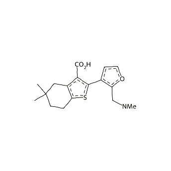 CNCc1occc1-c1sc2c(c1C(=O)O)CC(C)(C)CC2